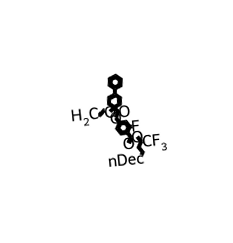 C=CCOC1(C(=O)Oc2ccc(C(=O)OC(CCCCCCCCCCCC)C(F)(F)F)c(F)c2)C=CC(c2ccccc2)=CC1